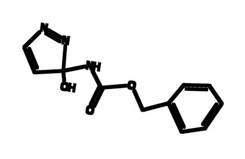 O=C(NC1(O)C=CN=N1)OCc1ccccc1